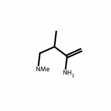 C=C(N)C(C)CNC